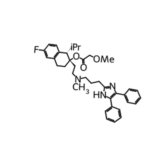 COCC(=O)O[C@]1(CCN(C)CCCc2nc(-c3ccccc3)c(-c3ccccc3)[nH]2)CCc2cc(F)ccc2[C@@H]1C(C)C